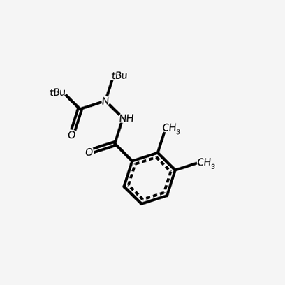 Cc1cccc(C(=O)NN(C(=O)C(C)(C)C)C(C)(C)C)c1C